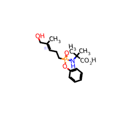 C/C(=C\CCP(=O)(NC(C)(C)C(=O)O)Oc1ccccc1)CO